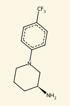 N[C@H]1CCCN(c2ccc(C(F)(F)F)cc2)C1